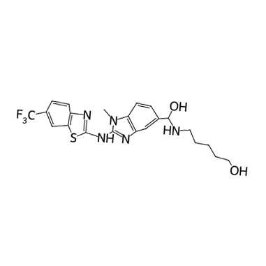 Cn1c(Nc2nc3ccc(C(F)(F)F)cc3s2)nc2cc(C(O)NCCCCCO)ccc21